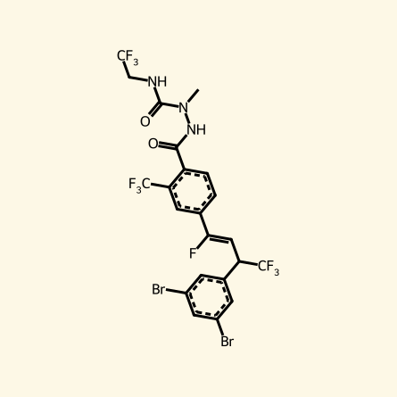 CN(NC(=O)c1ccc(/C(F)=C/C(c2cc(Br)cc(Br)c2)C(F)(F)F)cc1C(F)(F)F)C(=O)NCC(F)(F)F